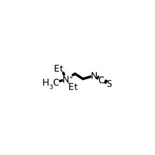 CC[N+](C)(CC)CCN=C=S